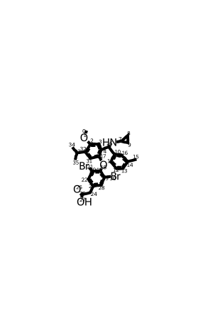 COc1cc(C(NC2CC2)c2cccc(C)c2)c(Oc2c(Br)cc(CC(=O)O)cc2Br)cc1C(C)C